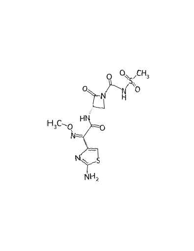 CON=C(C(=O)N[C@H]1CN(C(=O)NS(C)(=O)=O)C1=O)c1csc(N)n1